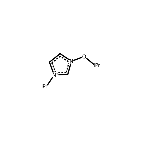 CC(C)On1cc[n+](C(C)C)c1